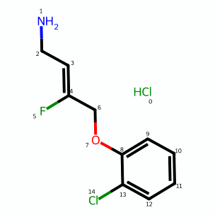 Cl.NCC=C(F)COc1ccccc1Cl